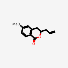 C=CCC1Cc2cc(OC)ccc2C(=O)O1